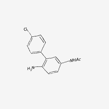 CC(=O)Nc1ccc(N)c(-c2ccc(Cl)cc2)c1